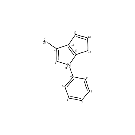 Brc1cn(-c2ccccc2)c2c1C=CC2